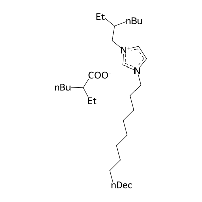 CCCCC(CC)C(=O)[O-].CCCCCCCCCCCCCCCCCCn1cc[n+](CC(CC)CCCC)c1